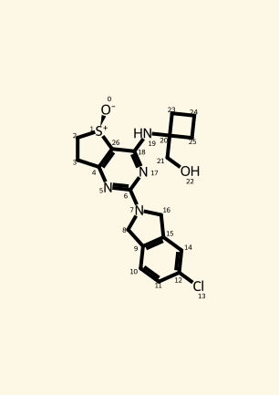 [O-][S@+]1CCc2nc(N3Cc4ccc(Cl)cc4C3)nc(NC3(CO)CCC3)c21